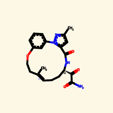 C/C1=C\CC[C@@H](C(=O)C(N)=O)NC(=O)c2cc(C)nn2-c2cccc(c2)OCC1